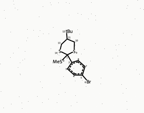 CSC1(c2ccc(Br)cc2)SCC(C(C)(C)C)CS1